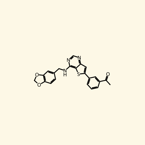 CC(=O)c1cccc(-c2cc3ncnc(NCc4ccc5c(c4)OCO5)c3s2)c1